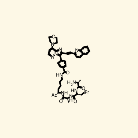 CC(=O)[C@H](CCCCNC(=O)c1ccc(-c2c(C#Cc3ccc4ccccc4n3)nc3c(N4CCOCC4)ccnn23)cc1)NC(=O)[C@H](C)NC(=O)[C@H](CC(C)C)NC(=O)[C@H](C)N